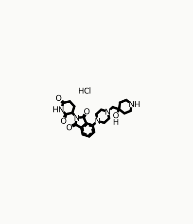 Cl.O=C1CCC(N2C(=O)c3cccc(N4CCN(CC5(O)CCNCC5)CC4)c3C2=O)C(=O)N1